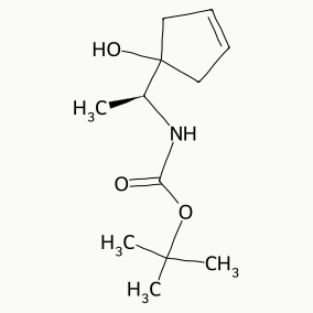 C[C@H](NC(=O)OC(C)(C)C)C1(O)CC=CC1